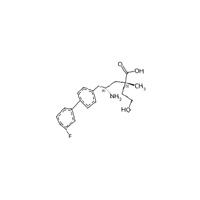 C[C@@](CCO)(C[C@H](N)Cc1ccc(-c2cccc(F)c2)cc1)C(=O)O